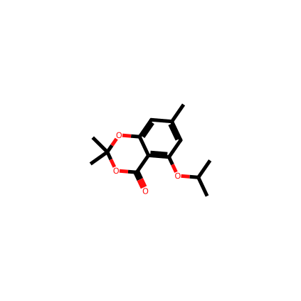 Cc1cc(OC(C)C)c2c(c1)OC(C)(C)OC2=O